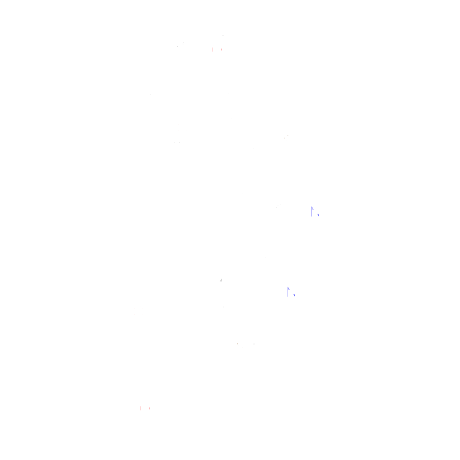 c1cnc2c(-c3scc4c3OCCO4)ccc(-c3scc4c3OCCO4)c2n1